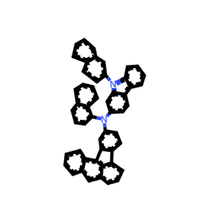 c1ccc2cc(-n3c4ccccc4c4ccc(N(c5ccc6c(c5)-c5c7ccccc7cc7cccc-6c57)c5cccc6ccccc56)cc43)ccc2c1